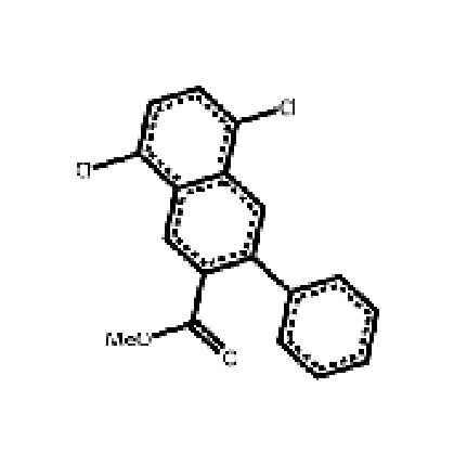 COC(=O)c1cc2c(Cl)ccc(Cl)c2cc1-c1ccccc1